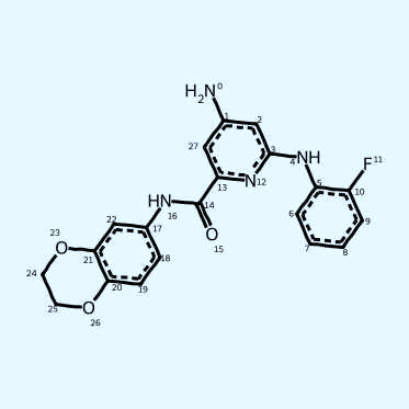 Nc1cc(Nc2ccccc2F)nc(C(=O)Nc2ccc3c(c2)OCCO3)c1